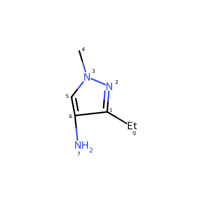 [CH2]Cc1nn(C)cc1N